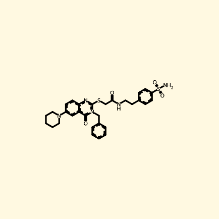 NS(=O)(=O)c1ccc(CCNC(=O)CSc2nc3ccc(N4CCCCC4)cc3c(=O)n2Cc2ccccc2)cc1